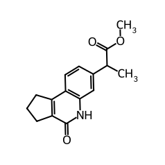 COC(=O)C(C)c1ccc2c3c(c(=O)[nH]c2c1)CCC3